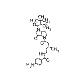 COC(C(=O)N1CC(=O)C2C1CCN2C(=O)CC(C)CCNC(=O)c1ccc(N)cc1)C(C)(C)C